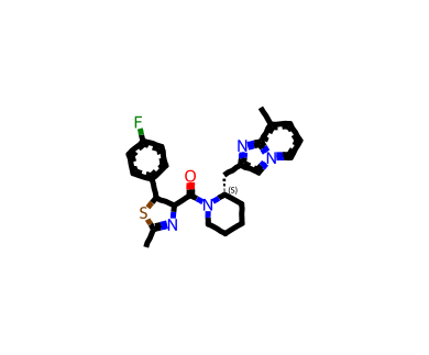 CC1=NC(C(=O)N2CCCC[C@H]2Cc2cn3cccc(C)c3n2)C(c2ccc(F)cc2)S1